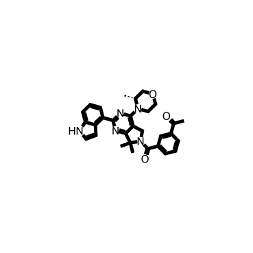 CC(=O)c1cccc(C(=O)N2Cc3c(N4CCOC[C@H]4C)nc(-c4cccc5[nH]ccc45)nc3C2(C)C)c1